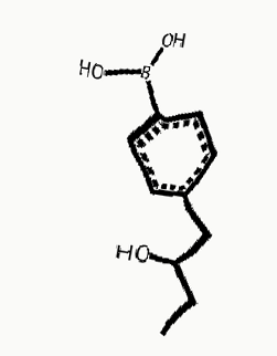 CCC(O)Cc1ccc(B(O)O)cc1